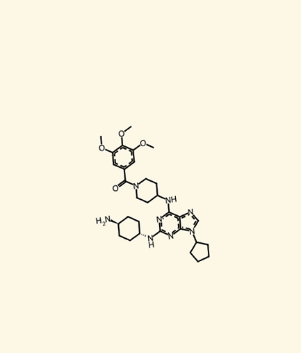 COc1cc(C(=O)N2CCC(Nc3nc(N[C@H]4CC[C@H](N)CC4)nc4c3ncn4C3CCCC3)CC2)cc(OC)c1OC